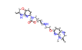 C=C1COc2ccc(N3C[C@@H](/C=C/NCCOc4ccc5c(n4)N(C)C(=C)C=N5)OC3=O)nc2N1